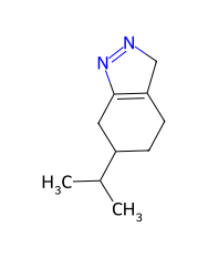 CC(C)C1CCC2=C(C1)N=NC2